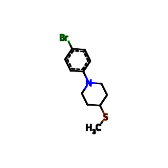 CSC1CCN(c2ccc(Br)cc2)CC1